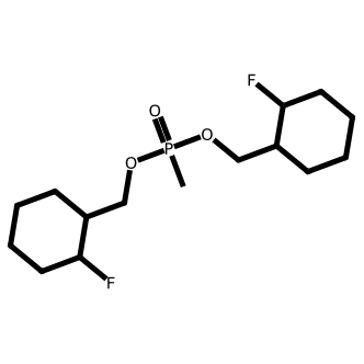 CP(=O)(OCC1CCCCC1F)OCC1CCCCC1F